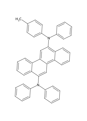 Cc1ccc(N(c2ccccc2)c2cc3c4ccccc4c(N(c4ccccc4)c4ccccc4)cc3c3ccccc23)cc1